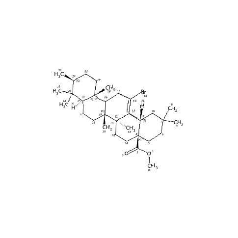 COC(=O)[C@]12CCC(C)(C)C[C@H]1C1=C(Br)CC3[C@@]4(C)CC[C@H](C)C(C)(C)[C@@H]4CC[C@@]3(C)[C@]1(C)CC2